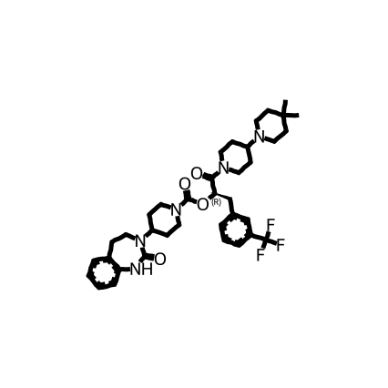 CC1(C)CCN(C2CCN(C(=O)[C@@H](Cc3cccc(C(F)(F)F)c3)OC(=O)N3CCC(N4CCc5ccccc5NC4=O)CC3)CC2)CC1